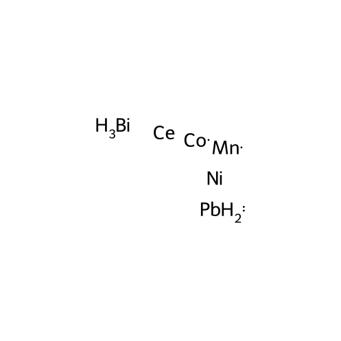 [BiH3].[Ce].[Co].[Mn].[Ni].[PbH2]